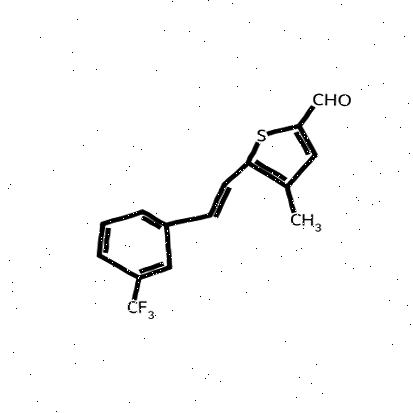 Cc1cc(C=O)sc1/C=C/c1cccc(C(F)(F)F)c1